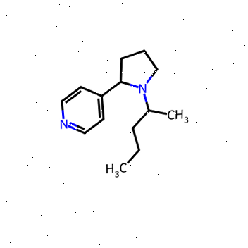 CCCC(C)N1CCCC1c1ccncc1